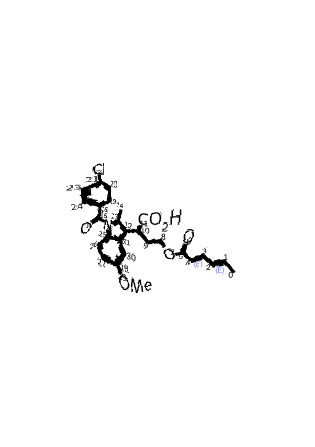 C/C=C/C=C/C(=O)OCCC(C(=O)O)c1c(C)n(C(=O)c2ccc(Cl)cc2)c2ccc(OC)cc12